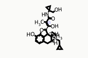 C/C(C(=O)NC1(CO)CC1)=C(/O)[C@@H]1Oc2c(O)ccc3c2[C@@]12CCN(CC1CC1)[C@H](C3)[C@@]2(C)O